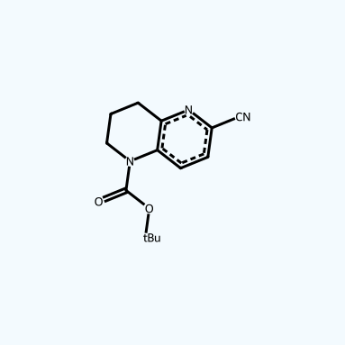 CC(C)(C)OC(=O)N1CCCc2nc(C#N)ccc21